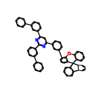 C1=CC2c3ccccc3C3(c4ccccc4Oc4c(-c5cccc(-c6cc(-c7cccc(-c8ccccc8)c7)nc(-c7cccc(-c8ccccc8)c7)n6)c5)cccc43)C2C=C1